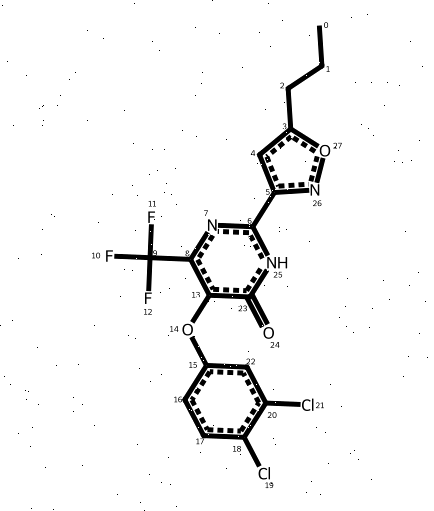 CCCc1cc(-c2nc(C(F)(F)F)c(Oc3ccc(Cl)c(Cl)c3)c(=O)[nH]2)no1